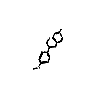 COc1ccc(C(C=O)Cc2ccc(C)cc2)cc1